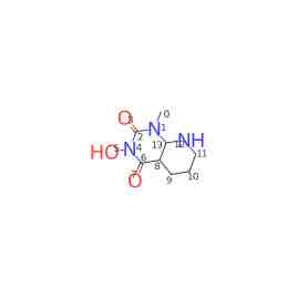 CN1C(=O)N(O)C(=O)C2CCCNC21